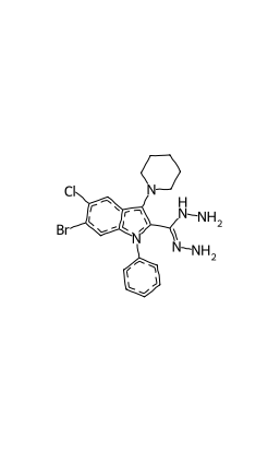 N/N=C(\NN)c1c(N2CCCCC2)c2cc(Cl)c(Br)cc2n1-c1ccccc1